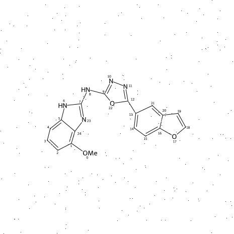 COc1cccc2[nH]c(Nc3nnc(-c4ccc5occc5c4)o3)nc12